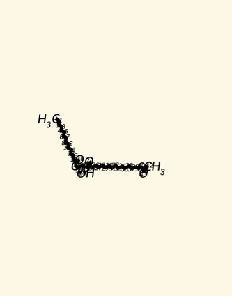 CCCCCCCCCCCCCCCC(=O)O[C@@H](CO)COC(=O)CCCCCCCCCCCCCCCSC(C)=O